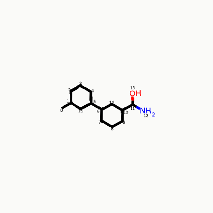 CC1CCCC(C2CCCC(C(N)O)C2)C1